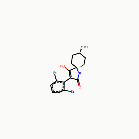 CCc1cccc(CC)c1C1=C(O)[C@]2(CC[C@H](OC)CC2)NC1=O